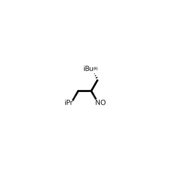 CC[C@@H](C)CC(CC(C)C)N=O